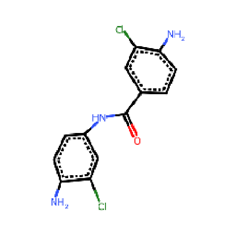 Nc1ccc(NC(=O)c2ccc(N)c(Cl)c2)cc1Cl